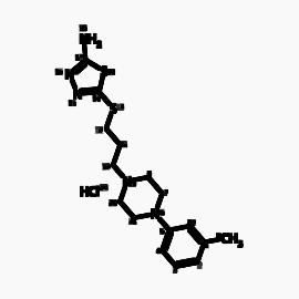 Cc1cccc(N2CCN(CCCSc3nnc(N)s3)CC2)c1.Cl